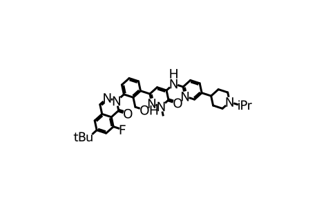 CC(C)N1CCC(c2ccc(Nc3cc(-c4cccc(-n5ncc6cc(C(C)(C)C)cc(F)c6c5=O)c4CO)nn(C)c3=O)nc2)CC1